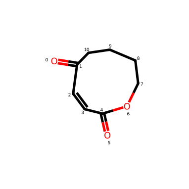 O=C1C=CC(=O)OCCCC1